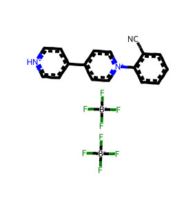 F[B-](F)(F)F.F[B-](F)(F)F.N#Cc1ccccc1-[n+]1ccc(-c2cc[nH+]cc2)cc1